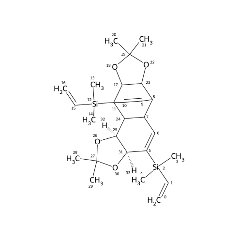 C=C[Si](C)(C)C1=CC2C3C=CC([Si](C)(C)C=C)(C4OC(C)(C)OC34)C2[C@@H]2OC(C)(C)O[C@H]12